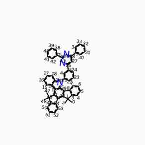 CC1(C)c2ccccc2-c2c1c1c(c3c4ccccc4n(-c4cccc(-c5cc(-c6ccccc6)nc(-c6ccccc6)n5)c4)c23)C(C)(C)c2ccccc2-1